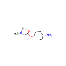 CN(C)CC(=O)OC1CCC(N)CC1